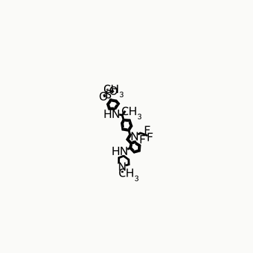 CC(Nc1ccc(S(C)(=O)=O)cc1)c1ccc(-c2cc3c(NC4CCN(C)CC4)cccc3n2CC(F)(F)F)cc1